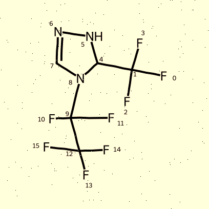 FC(F)(F)C1NN=CN1C(F)(F)C(F)(F)F